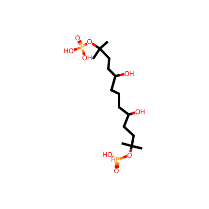 CC(C)(CCC(O)CCCC(O)CCC(C)(C)OP(=O)(O)O)O[PH](=O)O